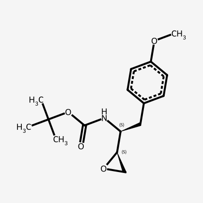 COc1ccc(C[C@H](NC(=O)OC(C)(C)C)[C@H]2CO2)cc1